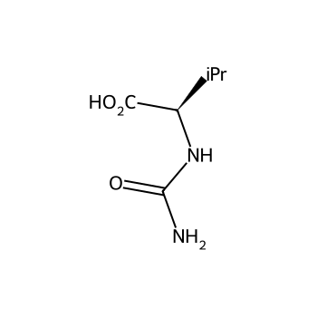 CC(C)[C@@H](NC(N)=O)C(=O)O